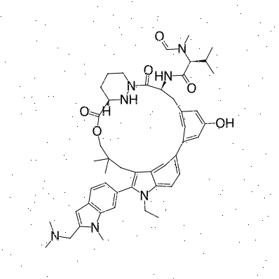 CCn1c(-c2ccc3cc(CN(C)C)n(C)c3c2)c2c3cc(ccc31)-c1cc(O)cc(c1)C[C@H](NC(=O)[C@H](C(C)C)N(C)C=O)C(=O)N1CCC[C@H](N1)C(=O)OCC(C)(C)C2